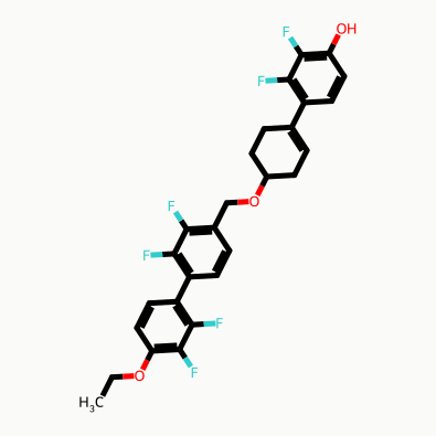 CCOc1ccc(-c2ccc(COC3CC=C(c4ccc(O)c(F)c4F)CC3)c(F)c2F)c(F)c1F